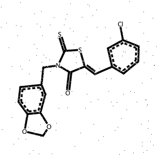 O=C1/C(=C/c2cccc(Cl)c2)SC(=S)N1Cc1ccc2c(c1)OCO2